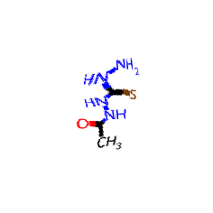 CC(=O)NNC(=S)NN